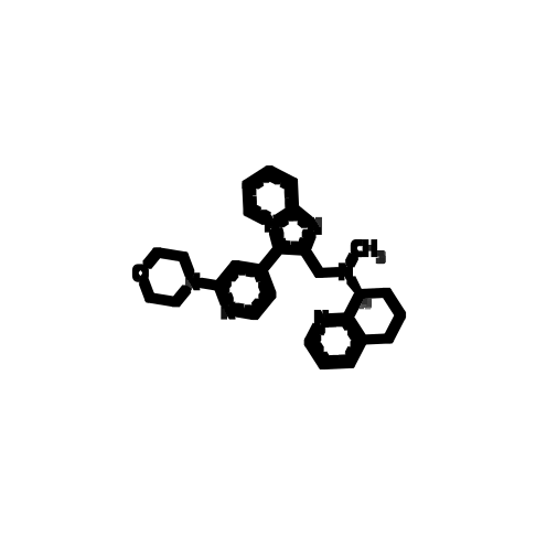 CN(Cc1nc2ccccn2c1-c1ccnc(N2CCOCC2)c1)[C@H]1CCCc2cccnc21